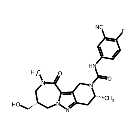 C[C@@H]1Cc2nn3c(c2CN1C(=O)Nc1ccc(F)c(C#N)c1)C(=O)N(C)C[C@@H](CO)C3